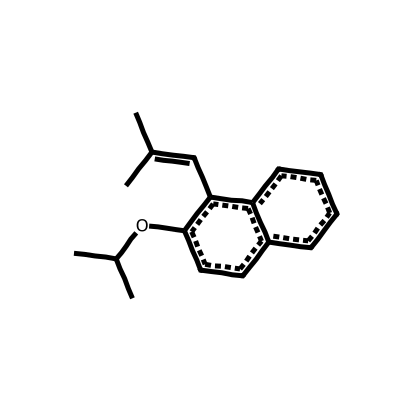 CC(C)=Cc1c(OC(C)C)ccc2ccccc12